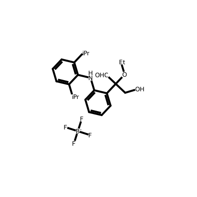 CCOC([C+]=O)(CO)c1ccccc1Nc1c(C(C)C)cccc1C(C)C.F[B-](F)(F)F